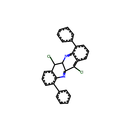 ClC1=c2cccc(-c3ccccc3)c2=NC2C1=Nc1c(-c3ccccc3)cccc1C2Cl